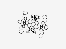 CCOc1cc2c3c(cc(OCC)c4c5c(OCC)cc6c7c(cc(OCC)c(c1c34)c75)C(=O)N(c1c(CCC3CCCCC3)cccc1CCC1CCCCC1)C6=O)C(=O)N(c1c(CCC3CCCCC3)cccc1CCC1CCCCC1)C2=O